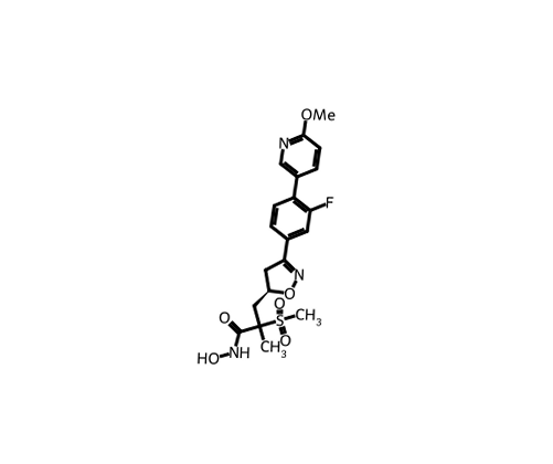 COc1ccc(-c2ccc(C3=NO[C@@H](CC(C)(C(=O)NO)S(C)(=O)=O)C3)cc2F)cn1